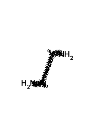 CCCc1cc(Cc2ccc(N)cc2)ccc1CCCCCCCCCCCCCCCCCCCCc1ccc(Cc2ccc(N)cc2)cc1CCC